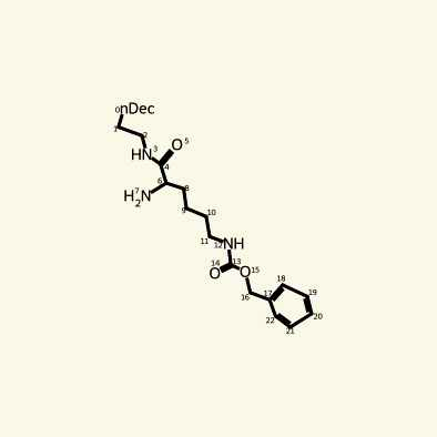 CCCCCCCCCCCCNC(=O)C(N)CCCCNC(=O)OCc1ccccc1